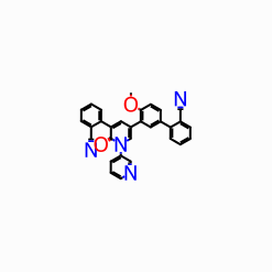 COc1ccc(-c2ccccc2C#N)cc1-c1cc(-c2ccccc2C#N)c(=O)n(-c2cccnc2)c1